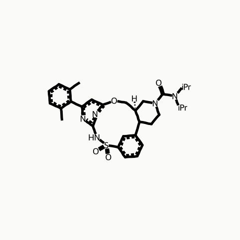 Cc1cccc(C)c1-c1cc2nc(n1)NS(=O)(=O)c1cccc(c1)C1CCN(C(=O)N(C(C)C)C(C)C)C[C@@H]1CO2